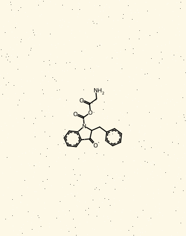 NCC(=O)OC(=O)N1c2ccccc2C(=O)C1Cc1ccccc1